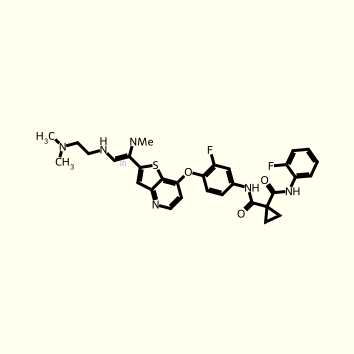 CN/C(=C\NCCN(C)C)c1cc2nccc(Oc3ccc(NC(=O)C4(C(=O)Nc5ccccc5F)CC4)cc3F)c2s1